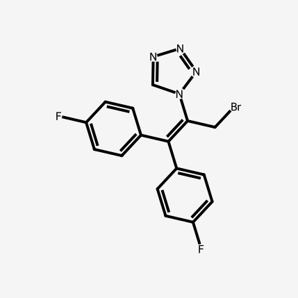 Fc1ccc(C(=C(CBr)n2cnnn2)c2ccc(F)cc2)cc1